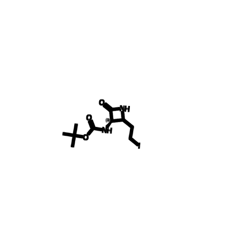 CC(C)(C)OC(=O)N[C@H]1C(=O)NC1CCI